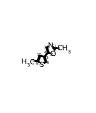 Cc1ncc(-c2csc(C)c2)o1